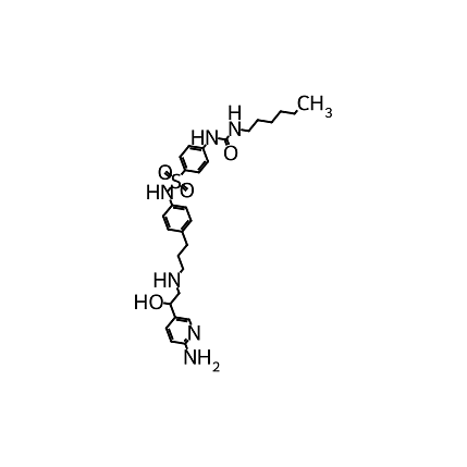 CCCCCCNC(=O)Nc1ccc(S(=O)(=O)Nc2ccc(CCCNCC(O)c3ccc(N)nc3)cc2)cc1